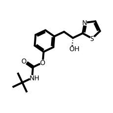 CC(C)(C)NC(=O)Oc1cccc(C[C@@H](O)c2nccs2)c1